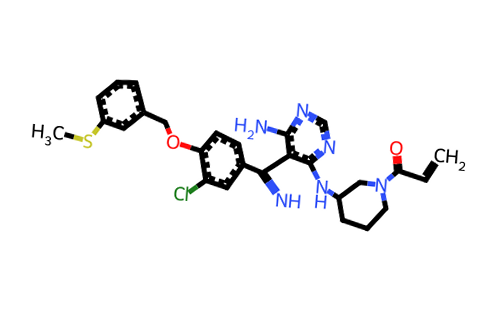 C=CC(=O)N1CCCC(Nc2ncnc(N)c2C(=N)c2ccc(OCc3cccc(SC)c3)c(Cl)c2)C1